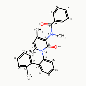 CCCCc1cc(C)c(N(C)C(=O)c2ccccc2)c(=O)n1-c1ccccc1-c1ccccc1C#N